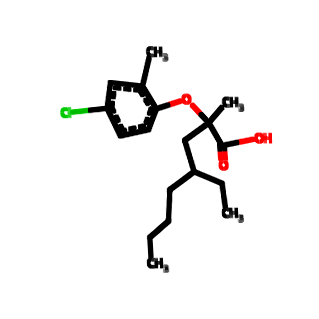 CCCCC(CC)CC(C)(Oc1ccc(Cl)cc1C)C(=O)O